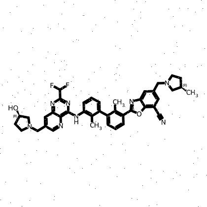 Cc1c(Nc2nc(C(F)F)nc3cc(CN4CC[C@@H](O)C4)cnc23)cccc1-c1cccc(-c2nc3cc(CN4CC[C@@H](C)C4)cc(C#N)c3o2)c1C